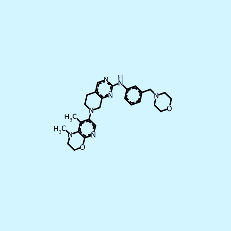 Cc1c(N2CCc3cnc(Nc4cccc(CN5CCOCC5)c4)nc3C2)cnc2c1N(C)CCO2